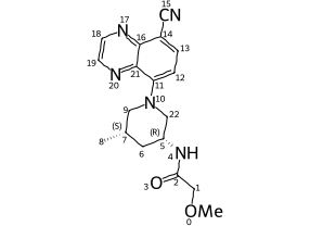 COCC(=O)N[C@@H]1C[C@H](C)CN(c2ccc(C#N)c3nccnc23)C1